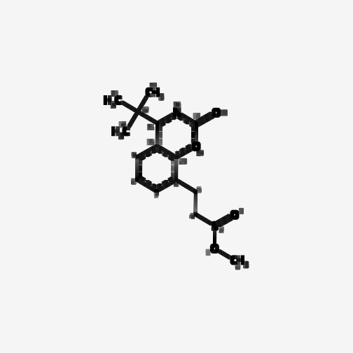 COS(=O)CCc1cccc2c(C(C)(C)C)nc(=O)oc12